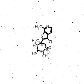 Cc1nccc2c(Cl)c([C@]3(C)CS(=O)(=O)N(C)C(=N)N3)sc12